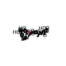 CCc1c2c(nc3ccc(OC(=O)N(C)CCCN4CC[N+](CC)(Cc5ccc(-n6c(O)nnc6-c6cc(C(C)C)c(O)cc6O)cc5)CC4)cc13)-c1cc3c(c(=O)n1C2)COC(=O)[C@H]3O